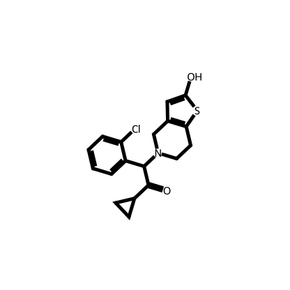 O=C(C1CC1)C(c1ccccc1Cl)N1CCc2sc(O)cc2C1